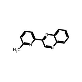 Cc1cccc(-c2cnc3ccccc3n2)n1